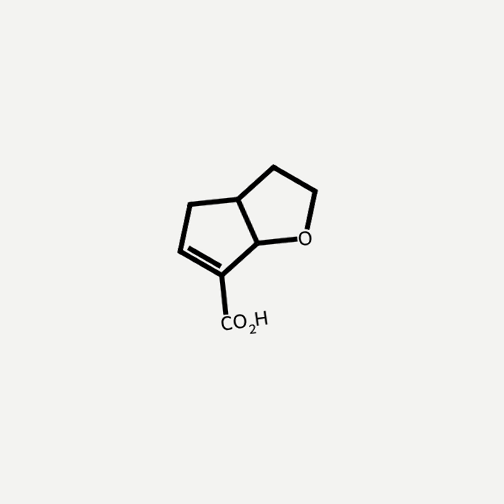 O=C(O)C1=CCC2CCOC12